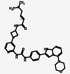 CN(C)C/C=C/C(=O)NC1CN(c2ccnc(NC(=O)Nc3ccc(C4=CN5C(N6CCOCC6)=CC=CC5N4)cc3)c2)C1